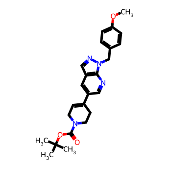 COc1ccc(Cn2ncc3cc(C4=CCN(C(=O)OC(C)(C)C)CC4)cnc32)cc1